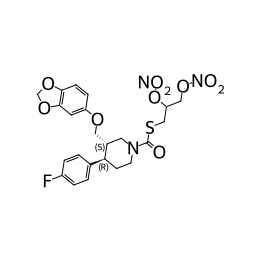 O=C(SCC(CO[N+](=O)[O-])O[N+](=O)[O-])N1CC[C@@H](c2ccc(F)cc2)[C@H](COc2ccc3c(c2)OCO3)C1